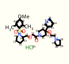 COc1cc(C)c(S(=O)(=O)N2CCCCC2COCC(=O)N2CCC(OCCN3CCCC3)(c3cccnc3)CC2)c(C)c1.Cl